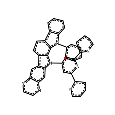 c1ccc(-n2c3ccccc3c3ccc4c5cc6nccnc6cc5n(-c5cc(-c6ccccn6)nc(-c6ccccn6)c5)c4c32)cc1